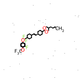 C=CCCC1COC(C2CCC(/C=C/C3CCC(C(F)(F)Oc4ccc(OC(F)(F)F)c(F)c4)CC3)CC2)OC1